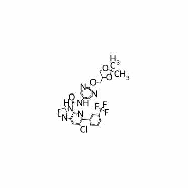 CC1(C)OCC(COc2ncc(NC(=O)N3c4nc(-c5cccc(C(F)(F)F)c5)c(Cl)cc4N4CC[C@H]3C4)cn2)O1